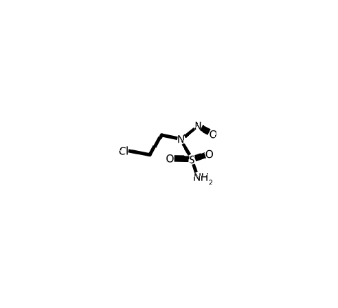 NS(=O)(=O)N(CCCl)N=O